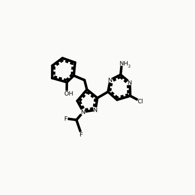 Nc1nc(Cl)cc(-c2nn(C(F)F)cc2Cc2ccccc2O)n1